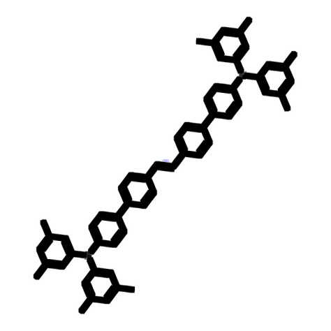 Cc1cc(C)cc(N(c2ccc(-c3ccc(/C=C/c4ccc(-c5ccc(N(c6cc(C)cc(C)c6)c6cc(C)cc(C)c6)cc5)cc4)cc3)cc2)c2cc(C)cc(C)c2)c1